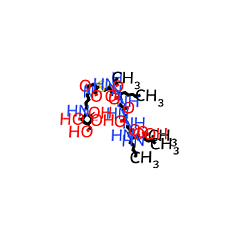 CCCCCC(NC(=O)CNC(=O)CNC(=O)CNC(=O)C(CCCCC)NC(=O)C(CSC1CC(=O)N(CCCCN[C@H]2C(O)C[C@H](CO)[C@@H](O)[C@@H]2O)C1=O)NC(C)=O)C(=O)NC(CC(C)C)C(=O)O